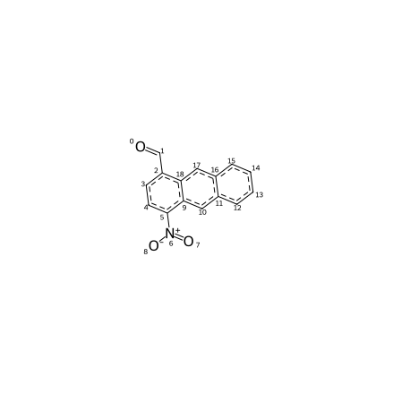 O=Cc1ccc([N+](=O)[O-])c2cc3ccccc3cc12